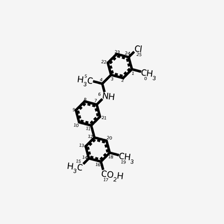 Cc1cc(C(C)Nc2cccc(-c3cc(C)c(C(=O)O)c(C)c3)c2)ccc1Cl